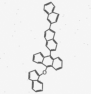 c1ccc2cc(-c3ccc4cc(-c5c6ccccc6c(Oc6cccc7ccccc67)c6ccccc56)ccc4c3)ccc2c1